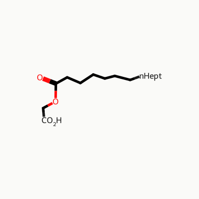 CCCCCCCCCCCCCC(=O)OCC(=O)O